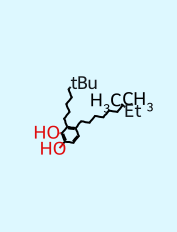 CCC(C)(C)CCCCCCc1ccc(O)c(O)c1CCCCCC(C)(C)C